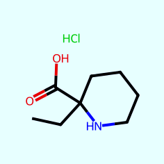 CCC1(C(=O)O)CCCCN1.Cl